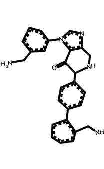 NCc1cccc(-n2cnc3c2C(=O)C(c2ccc(-c4ccccc4CN)cc2)NC3)c1